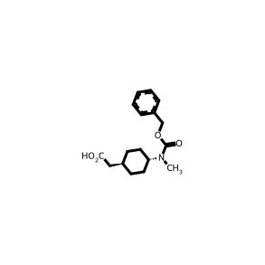 CN(C(=O)OCc1ccccc1)[C@H]1CC[C@H](CC(=O)O)CC1